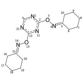 c1nc(ON=C2CCCCC2)nc(ON=C2CCCCC2)n1